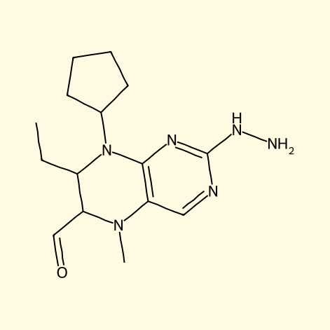 CCC1C(C=O)N(C)c2cnc(NN)nc2N1C1CCCC1